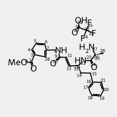 COC(=O)c1cccc(NC(=O)C=C[C@H](CCc2ccccc2)NC(=O)[C@H](C)N)c1.O=C(O)C(F)(F)F